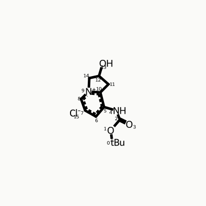 CC(C)(C)OC(=O)Nc1ccc[n+]2c1CC(O)C2.[Cl-]